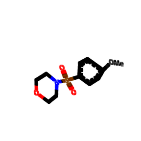 COc1ccc(S(=O)(=O)N2CCOCC2)cc1